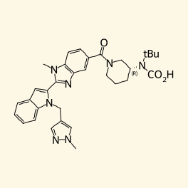 Cn1cc(Cn2c(-c3nc4cc(C(=O)N5CCC[C@@H](N(C(=O)O)C(C)(C)C)C5)ccc4n3C)cc3ccccc32)cn1